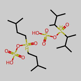 CC(C)C(C)[SH](=O)(OS(=O)(=O)O)C(C)C(C)C.CC(C)CC[SH](=O)(CCC(C)C)OS(=O)(=O)O